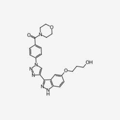 O=C(c1ccc(-n2cc(-c3n[nH]c4ccc(OCCCO)cc34)nn2)cc1)N1CCOCC1